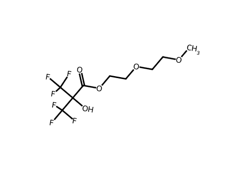 COCCOCCOC(=O)C(O)(C(F)(F)F)C(F)(F)F